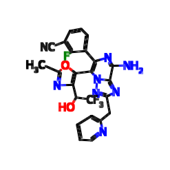 Cc1nc(C(O)C(F)(F)F)c(-c2c(-c3cccc(C#N)c3F)nc(N)c3nc(Cc4ccccn4)nn23)o1